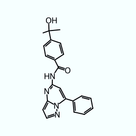 CC(C)(O)c1ccc(C(=O)Nc2cc(-c3ccccc3)n3nccc3n2)cc1